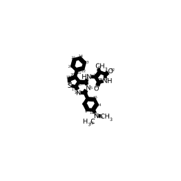 CC1=C(Nc2nc(-c3ccc(N(C)C)cc3)nc3scc(-c4ccccc4)c23)C(=O)NC1=O